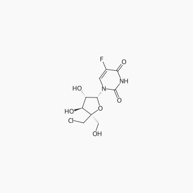 O=c1[nH]c(=O)n([C@@H]2O[C@@](CO)(CCl)[C@@H](O)[C@@H]2O)cc1F